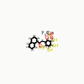 O=C(Cc1c(S)c(S)c(S)c(S)c1OS(=O)(=O)C(F)(F)F)c1cccc2ccccc12